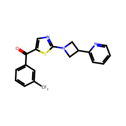 O=C(c1cccc(C(F)(F)F)c1)c1cnc(N2CC(c3ccccn3)C2)s1